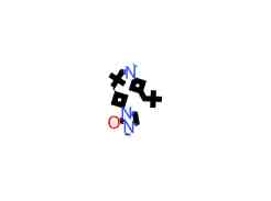 CN1CCN([C@H]2C[C@@H](CC(C)(C)CN(C)C3CC(CC(C)(C)C)C3)C2)C1=O